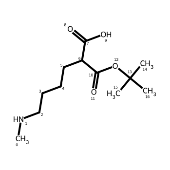 CNCCCCC(C(=O)O)C(=O)OC(C)(C)C